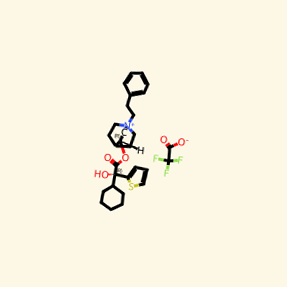 O=C(O[C@H]1C[N+]2(CCc3ccccc3)CCC1CC2)[C@@](O)(c1cccs1)C1CCCCC1.O=C([O-])C(F)(F)F